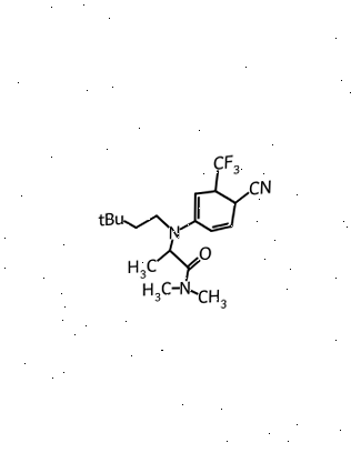 CC(C(=O)N(C)C)N(CCC(C)(C)C)C1=CC(C(F)(F)F)C(C#N)C=C1